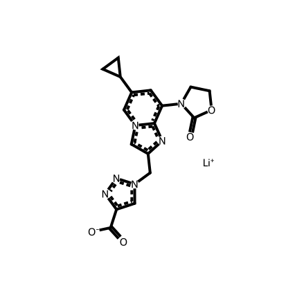 O=C([O-])c1cn(Cc2cn3cc(C4CC4)cc(N4CCOC4=O)c3n2)nn1.[Li+]